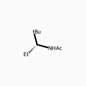 CC[C@@H](NC(C)=O)C(C)(C)C